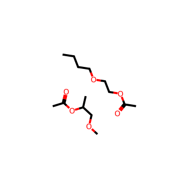 CCCCOCCOC(C)=O.COCC(C)OC(C)=O